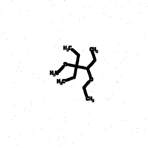 CCOC(CC)C(CC)(CC)O[SiH3]